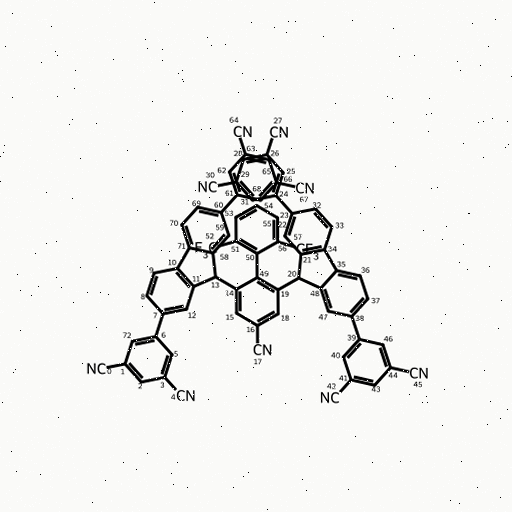 N#Cc1cc(C#N)cc(-c2ccc3c(c2)C(c2cc(C#N)cc(C4c5cc(-c6cc(C#N)cc(C#N)c6)ccc5-c5ccc(-c6cc(C#N)cc(C#N)c6)cc54)c2-c2c(C(F)(F)F)cccc2C(F)(F)F)c2cc(-c4cc(C#N)cc(C#N)c4)ccc2-3)c1